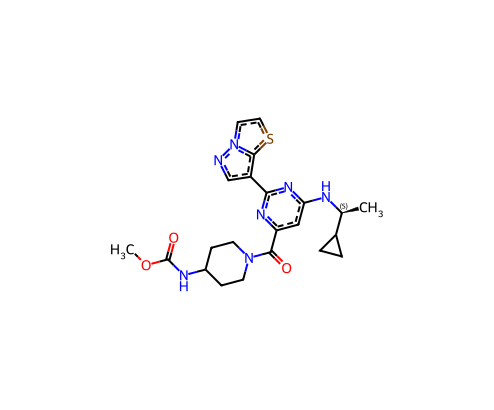 COC(=O)NC1CCN(C(=O)c2cc(N[C@@H](C)C3CC3)nc(-c3cnn4ccsc34)n2)CC1